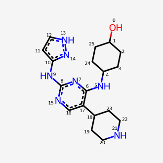 OC1CCC(Nc2nc(Nc3cc[nH]n3)ncc2C2CCNCC2)CC1